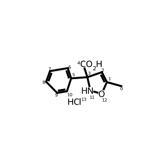 CC1=CC(C(=O)O)(c2ccccc2)NO1.Cl